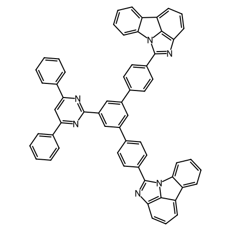 c1ccc(-c2cc(-c3ccccc3)nc(-c3cc(-c4ccc(-c5nc6cccc7c8ccccc8n5c67)cc4)cc(-c4ccc(-c5nc6cccc7c8ccccc8n5c67)cc4)c3)n2)cc1